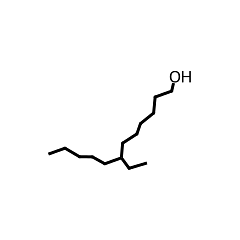 CCCCCC(CC)CCCCCCO